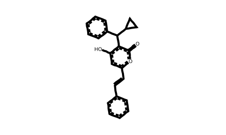 O=c1oc(C=Cc2ccccc2)cc(O)c1C(c1ccccc1)C1CC1